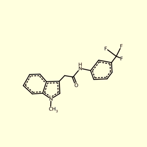 Cn1cc(CC(=O)Nc2cccc(C(F)(F)F)c2)c2ccccc21